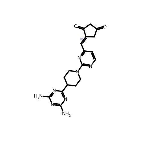 Nc1nc(N)nc(C2CCN(c3nccc(/C=C4\CC(=O)CC4=O)n3)CC2)n1